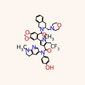 CN1CCc2cc(N(C(=O)c3cc(-c4cc5c(cc4C(=O)N4Cc6ccccc6C[C@H]4CN4CCOCC4)OCO5)n(C)c3CC(F)(F)F)c3ccc(O)cc3)cnc21